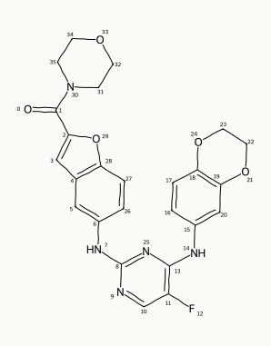 O=C(c1cc2cc(Nc3ncc(F)c(Nc4ccc5c(c4)OCCO5)n3)ccc2o1)N1CCOCC1